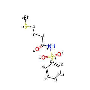 CCSCCCC(=O)NS(=O)(=O)c1ccccc1